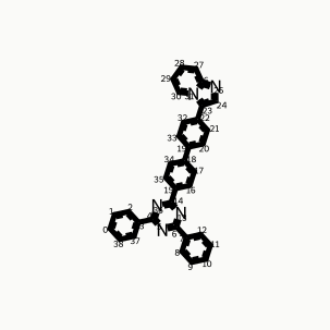 c1ccc(-c2nc(-c3ccccc3)nc(-c3ccc(-c4ccc(-c5cnc6ccccn56)cc4)cc3)n2)cc1